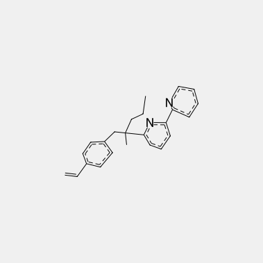 C=Cc1ccc(CC(C)(CCC)c2cccc(-c3ccccn3)n2)cc1